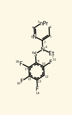 C/C=C(\N=C/CCC)N(CC)Sc1c(F)cc(F)c(F)c1F